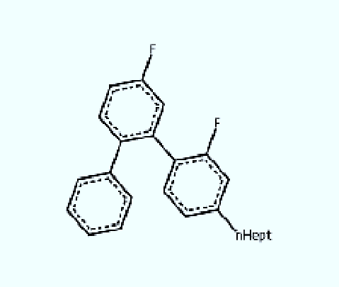 CCCCCCCc1ccc(-c2cc(F)ccc2-c2ccccc2)c(F)c1